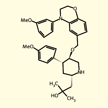 COc1ccc([C@H]2C[C@@H](CC(C)(C)O)NC[C@@H]2OCc2ccc3c(c2)N(c2cccc(OC)c2)CCO3)cc1